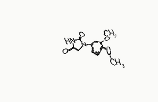 COc1ccc(N2CC(=O)NC2=O)cc1OC